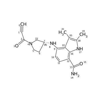 C#CC(=O)N1CC[C@@H](Nc2ccc(C(N)=O)c3[nH]c(C)c(C)c23)C1